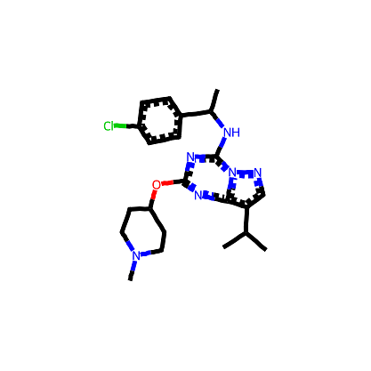 CC(C)c1cnn2c(NC(C)c3ccc(Cl)cc3)nc(OC3CCN(C)CC3)nc12